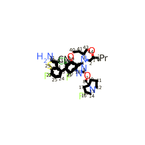 CC(C)C1CN2c3nc(OC[C@@]45CCCN4C[C@H](F)C5)nc4c(F)c(-c5ccc(F)c6sc(N)c(C#N)c56)c(Cl)c(c34)OCCC2CO1